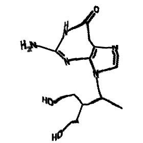 CC(C(CO)CO)n1cnc2c(=O)[nH]c(N)nc21